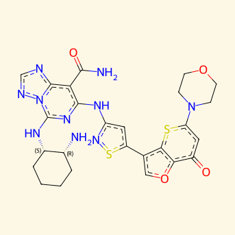 NC(=O)c1c(Nc2cc(-c3coc4c(=O)cc(N5CCOCC5)sc34)sn2)nc(N[C@H]2CCCC[C@H]2N)n2ncnc12